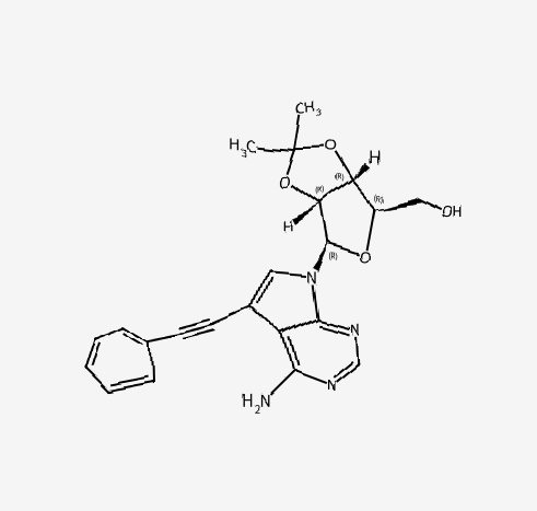 CC1(C)O[C@@H]2[C@H](O1)[C@@H](CO)O[C@H]2n1cc(C#Cc2ccccc2)c2c(N)ncnc21